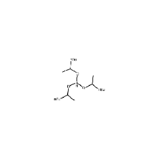 CCCCC(C)O[SiH](OC(C)CCCC)OC(C)CCCC